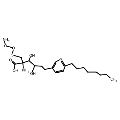 CCCCCCCCc1ccc(CCC(O)C(O)C(N)(CSOON)C(=O)O)cn1